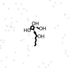 CCCCC[C@H](O)C#C[C@@H]1[C@@H](CCO)[C@@H](O)C[C@H]1O